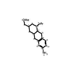 CCCN1CC(COC)CC2Cc3nc(N)ncc3CC21